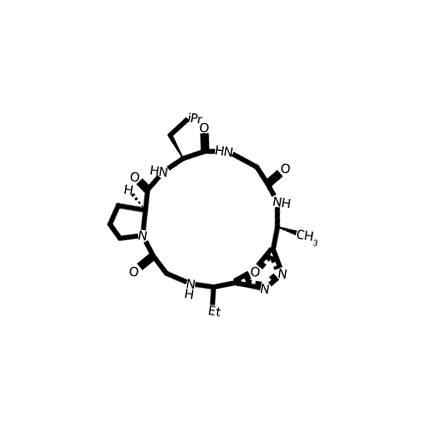 CCC1NCC(=O)N2CCC[C@H]2C(=O)N[C@@H](CC(C)C)C(=O)NCC(=O)N[C@@H](C)c2nnc1o2